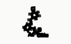 COC(=O)/C(=C/c1ccccc1SCc1cccc(Cl)c1)C(C)=O